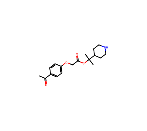 CC(=O)c1ccc(OCC(=O)OC(C)(C)C2CCNCC2)cc1